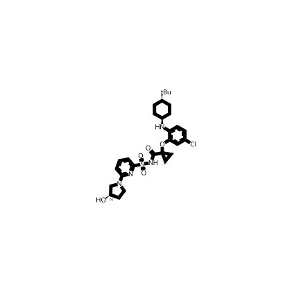 CC(C)(C)[C@H]1CC[C@H](Nc2ccc(Cl)cc2OC2(C(=O)NS(=O)(=O)c3cccc(N4CC[C@H](O)C4)n3)CC2)CC1